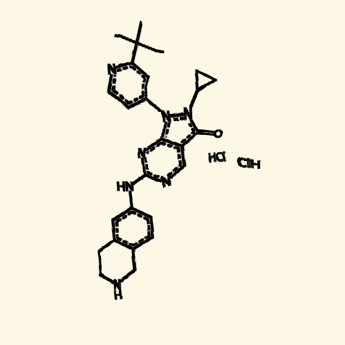 CC(C)(C)c1cc(-n2c3nc(Nc4ccc5c(c4)CCNC5)ncc3c(=O)n2C2CC2)ccn1.Cl.Cl